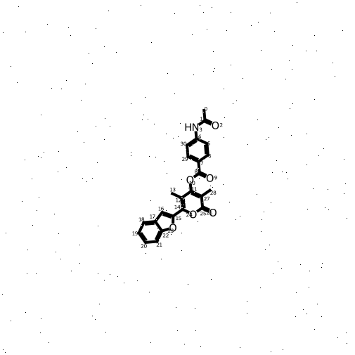 CC(=O)Nc1ccc(C(=O)Oc2c(C)c(-c3cc4ccccc4o3)oc(=O)c2C)cc1